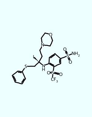 NS(=O)(=O)c1ccc(N[C@@](I)(CCN2CCOCC2)CSc2ccccc2)c(S(=O)(=O)C(F)(F)F)c1